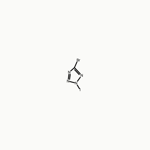 Brc1nnn(I)n1